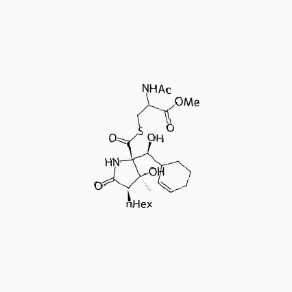 CCCCCC[C@H]1C(=O)N[C@](C(=O)SCC(NC(C)=O)C(=O)OC)([C@@H](O)C2C=CCCC2)[C@@]1(C)O